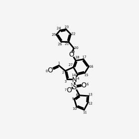 O=Cc1cn(S(=O)(=O)c2ccccc2)c2cccc(OCc3ccccc3)c12